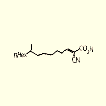 CCCCCCC(C)CCCCC/C=C(\C#N)C(=O)O